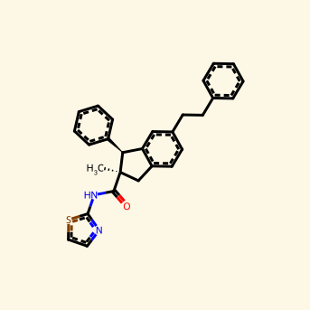 C[C@@]1(C(=O)Nc2nccs2)Cc2ccc(CCc3ccccc3)cc2[C@@H]1c1ccccc1